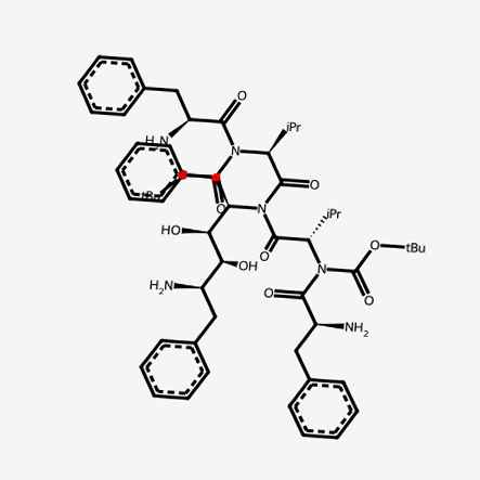 CC(C)[C@@H](C(=O)N(C(=O)[C@H](C(C)C)N(C(=O)OC(C)(C)C)C(=O)[C@@H](N)Cc1ccccc1)[C@H](Cc1ccccc1)[C@H](O)[C@@H](O)[C@H](N)Cc1ccccc1)N(C(=O)OC(C)(C)C)C(=O)[C@@H](N)Cc1ccccc1